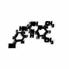 CCC(C)c1ccc(NC(=N)Nc2cc(C)cc(C)n2)cc1